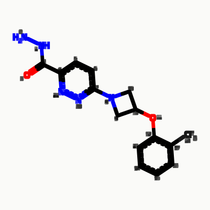 NNC(=O)c1ccc(N2CC(Oc3ccccc3C(F)(F)F)C2)nn1